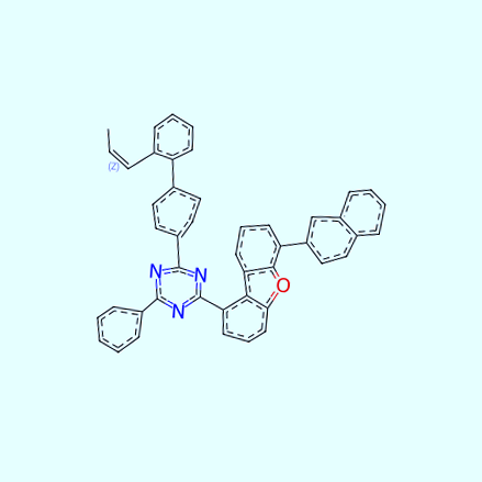 C/C=C\c1ccccc1-c1ccc(-c2nc(-c3ccccc3)nc(-c3cccc4oc5c(-c6ccc7ccccc7c6)cccc5c34)n2)cc1